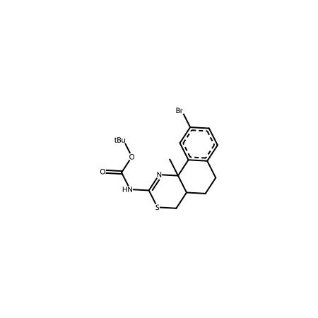 CC(C)(C)OC(=O)NC1=NC2(C)c3cc(Br)ccc3CCC2CS1